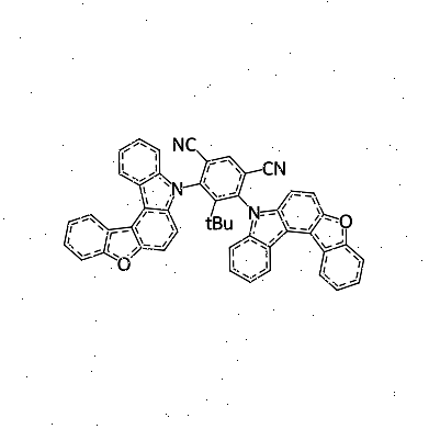 CC(C)(C)c1c(-n2c3ccccc3c3c4c(ccc32)oc2ccccc24)c(C#N)cc(C#N)c1-n1c2ccccc2c2c3c(ccc21)oc1ccccc13